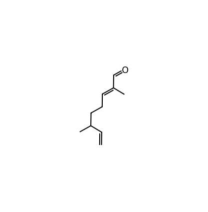 C=CC(C)CC/C=C(\C)C=O